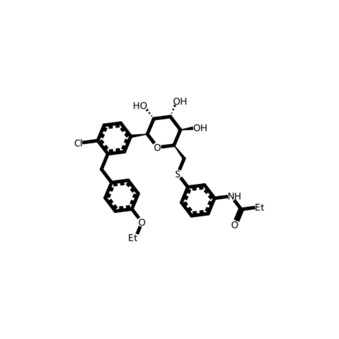 CCOc1ccc(Cc2cc([C@@H]3O[C@H](CSc4cccc(NC(=O)CC)c4)[C@H](O)[C@@H](O)[C@H]3O)ccc2Cl)cc1